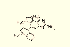 Cc1ccc(-c2cc3nc(N)nc(N)c3c3c2C(C)CO3)c2ccccc12